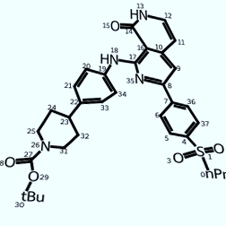 CCCS(=O)(=O)c1ccc(-c2cc3cc[nH]c(=O)c3c(Nc3ccc(C4CCN(C(=O)OC(C)(C)C)CC4)cc3)n2)cc1